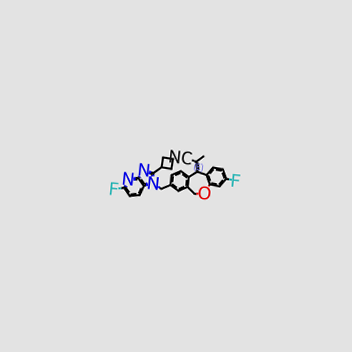 C/C(C#N)=C1/c2ccc(Cn3c(C4CCC4)nc4nc(F)ccc43)cc2COc2cc(F)ccc21